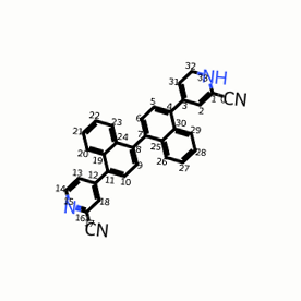 N#CC1=CC(c2ccc(-c3ccc(-c4ccnc(C#N)c4)c4ccccc34)c3ccccc23)=CCN1